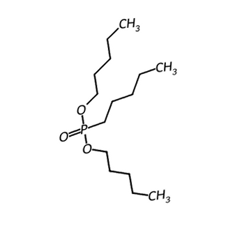 CCCCCOP(=O)(CCCCC)OCCCCC